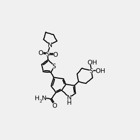 NC(=O)c1cc(-c2ccc(S(=O)(=O)N3CCCC3)s2)cc2c(C3CCS(O)(O)CC3)c[nH]c12